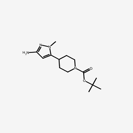 Cn1nc(N)cc1C1CCN(C(=O)OC(C)(C)C)CC1